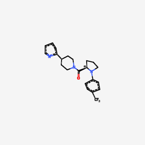 O=C([C@H]1CCCN1c1ccc(C(F)(F)F)cc1)N1CCC(c2ccccn2)CC1